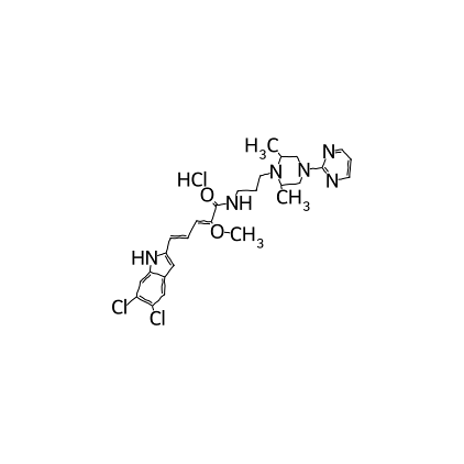 COC(=CC=Cc1cc2cc(Cl)c(Cl)cc2[nH]1)C(=O)NCCCN1C(C)CN(c2ncccn2)CC1C.Cl